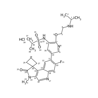 CC(C)NCCOc1ncc(-c2cc3c4c(cnc3cc2F)N(C)C(=O)C42CCC2)cc1NS(=O)(=O)C(C)C.Cl